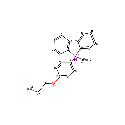 CCCCC[PH](c1ccccc1)(c1ccccc1)c1ccc(OCC[18F])cc1